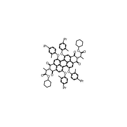 Cc1cc(C(C)C)ccc1Oc1cc2c3c(cc(Oc4ccc(C(C)C)cc4C)c4c5c(Oc6ccc(C(C)C)cc6C)cc6c7c(cc(Oc8ccc(C(C)C)cc8C)c(c1c34)c75)C(=O)N(C(C)C(=O)OC1CCCCC1)C6=O)C(=O)N(C(C)C(=O)OC1CCCCC1)C2=O